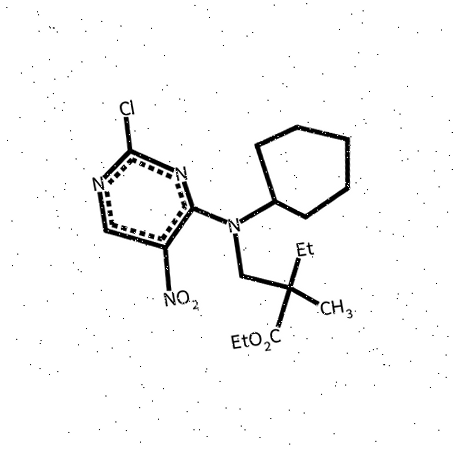 CCOC(=O)C(C)(CC)CN(c1nc(Cl)ncc1[N+](=O)[O-])C1CCCCC1